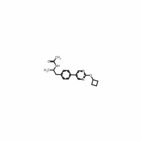 CC(=O)NC(C)Cc1ccc(-c2cnc(OC3CCC3)nc2)cc1